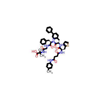 Cc1ccc(NC(=O)CCC(=O)N[C@H](Cc2cccs2)C(=O)N[C@@H](Cc2ccc(-c3ccccc3)cc2)C(=O)N[C@H](Cc2ccccc2)C(=O)NCC(=O)NC(C)(C)C(=O)O)cc1